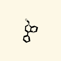 O=CN1CC=C(c2ccccc2)c2ncccc21